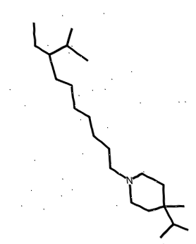 CCC(CCCCCCCN1CCC(C)(C(C)C)CC1)C(C)C